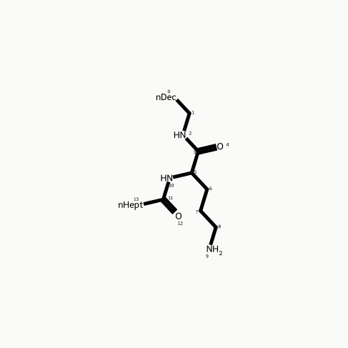 CCCCCCCCCCCNC(=O)C(CCCN)NC(=O)CCCCCCC